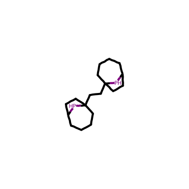 C1CCC2(CCC34CCCCC(CC3)P4)CCC(C1)P2